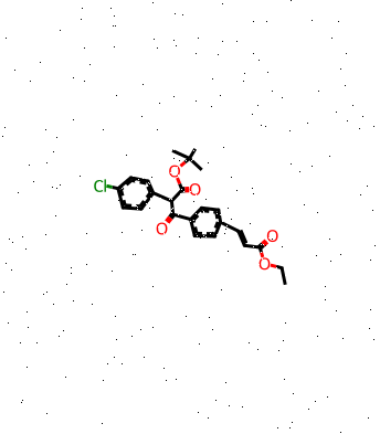 CCOC(=O)C=Cc1ccc(C(=O)C(C(=O)OC(C)(C)C)c2ccc(Cl)cc2)cc1